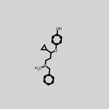 CN(CCC(Oc1ccc(O)cc1)C1CC1)Cc1ccccc1